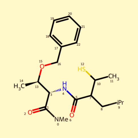 CNC(=O)[C@@H](NC(=O)C(CC(C)C)C(C)S)[C@@H](C)OCc1ccccc1